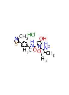 Cc1ncsc1-c1ccc([C@H](C)NC(=O)[C@@H]2C[C@@H](O)CN2C(=O)[C@@H](N)C(C)C)cc1.Cl